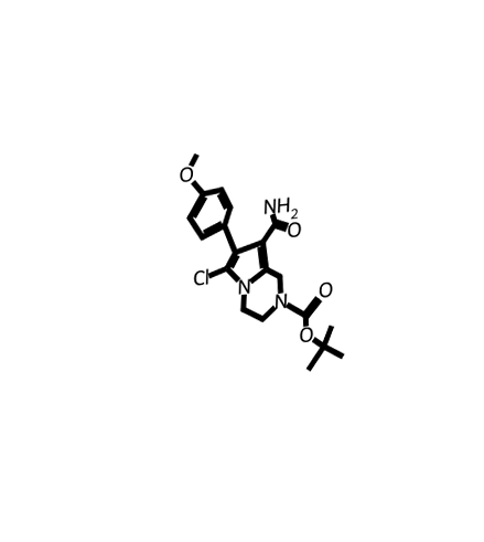 COc1ccc(-c2c(C(N)=O)c3n(c2Cl)CCN(C(=O)OC(C)(C)C)C3)cc1